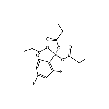 CCC(=O)O[Si](OC(=O)CC)(OC(=O)CC)c1ccc(F)cc1F